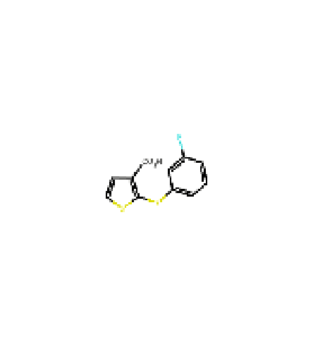 O=C(O)c1ccsc1Sc1cccc(F)c1